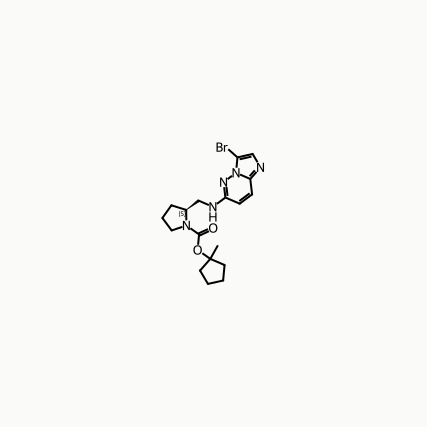 CC1(OC(=O)N2CCC[C@H]2CNc2ccc3ncc(Br)n3n2)CCCC1